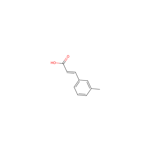 Cc1cccc(/C=C/C(=O)O)c1